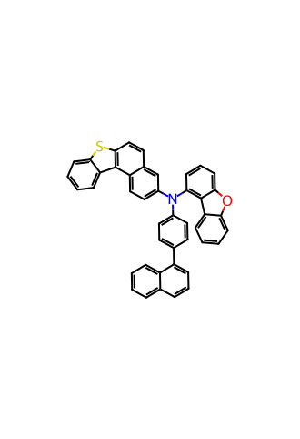 c1ccc2c(-c3ccc(N(c4ccc5c(ccc6sc7ccccc7c65)c4)c4cccc5oc6ccccc6c45)cc3)cccc2c1